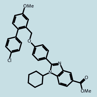 COC(=O)c1ccc2c(c1)nc(-c1ccc(OCc3cc(OC)ccc3-c3ccc(Cl)cc3)cc1)n2C1CCCCC1